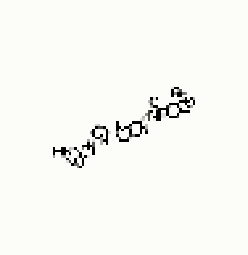 Cc1ccc(C(=O)NCc2cc3nc(-c4cccc(N5CC[C@@]6(CNCCO6)C5)n4)ccc3cn2)cc1S(C)(=O)=O